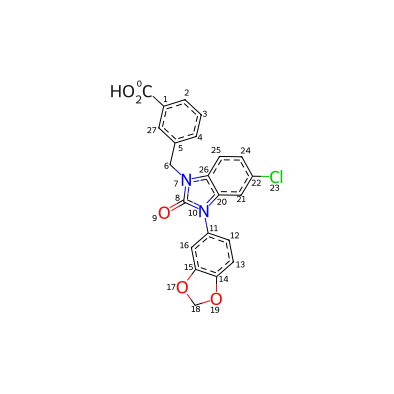 O=C(O)c1cccc(Cn2c(=O)n(-c3ccc4c(c3)OCO4)c3cc(Cl)ccc32)c1